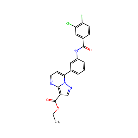 CCOC(=O)c1cnn2c(-c3cccc(NC(=O)c4ccc(Cl)c(Cl)c4)c3)ccnc12